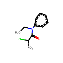 CC(C)COCN(C(=O)C(Cl)[N+](=O)[O-])c1ccccc1